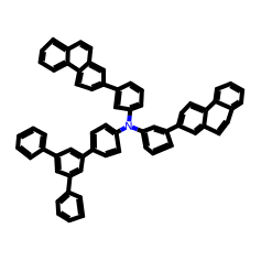 c1ccc(-c2cc(-c3ccccc3)cc(-c3ccc(N(c4cccc(-c5ccc6c(ccc7ccccc76)c5)c4)c4cccc(-c5ccc6c(ccc7ccccc76)c5)c4)cc3)c2)cc1